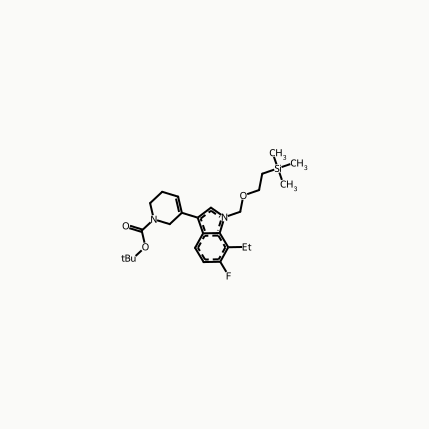 CCc1c(F)ccc2c(C3=CCCN(C(=O)OC(C)(C)C)C3)cn(COCC[Si](C)(C)C)c12